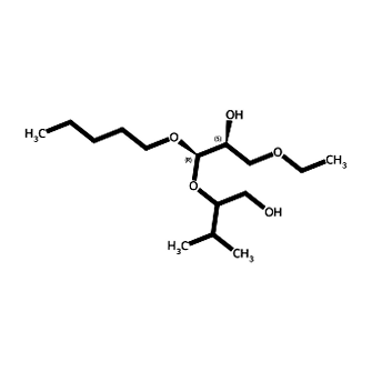 CCCCCO[C@H](OC(CO)C(C)C)[C@@H](O)COCC